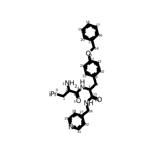 CC(C)CC(N)C(=O)NC(Cc1ccc(OCc2ccccc2)cc1)C(=O)NCc1ccncc1